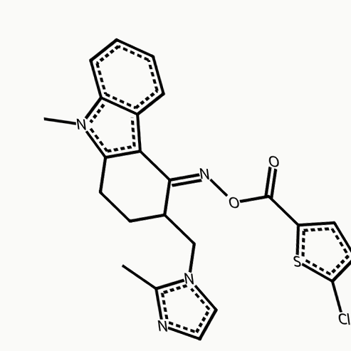 Cc1nccn1CC1CCc2c(c3ccccc3n2C)/C1=N/OC(=O)c1ccc(Cl)s1